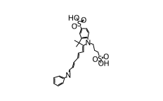 CC1(C)\C(=C/C=C/C=C/C=N/c2ccccc2)N(CCCS(=O)(=O)O)c2ccc(S(=O)(=O)O)cc21